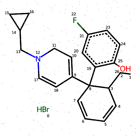 Br.CCC1C=CC=CC1(C1=CCN(CC2CC2)C=C1)c1cc(F)ccc1O